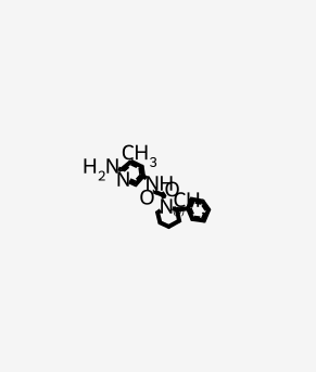 Cc1cc(NC(=O)C(=O)N2CCCC[C@@]2(C)c2ccccc2)cnc1N